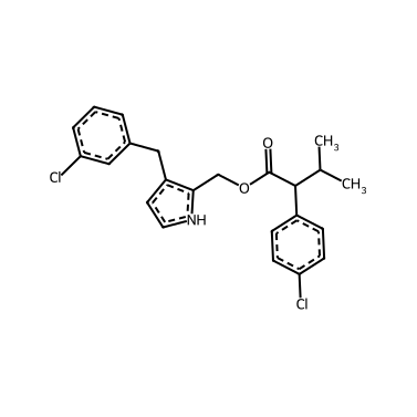 CC(C)C(C(=O)OCc1[nH]ccc1Cc1cccc(Cl)c1)c1ccc(Cl)cc1